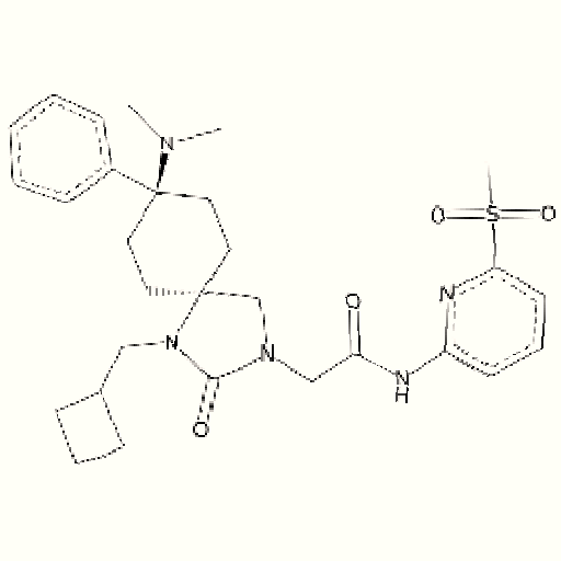 CN(C)[C@]1(c2ccccc2)CC[C@]2(CC1)CN(CC(=O)Nc1cccc(S(C)(=O)=O)n1)C(=O)N2CC1CCC1